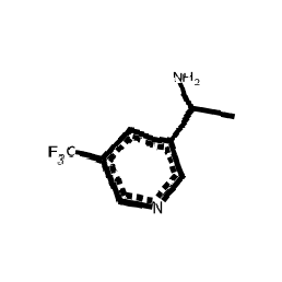 CC(N)c1cncc(C(F)(F)F)c1